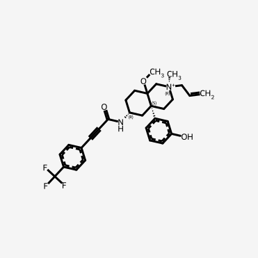 C=CC[N@@+]1(C)CC[C@@]2(c3cccc(O)c3)C[C@H](NC(=O)C#Cc3ccc(C(F)(F)F)cc3)CCC2(OC)C1